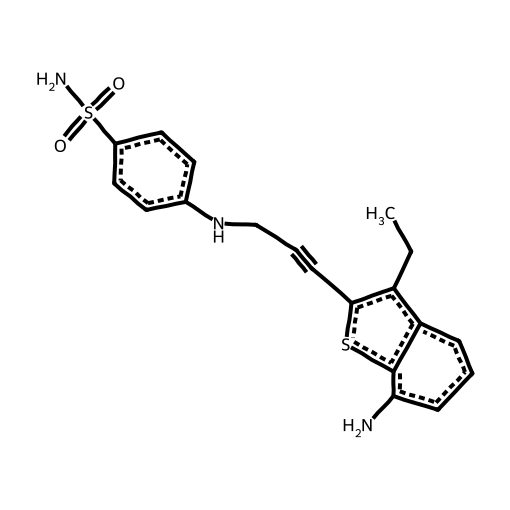 CCc1c(C#CCNc2ccc(S(N)(=O)=O)cc2)sc2c(N)cccc12